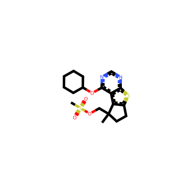 CC1(COS(C)(=O)=O)CCc2sc3ncnc(OC4CCCCC4)c3c21